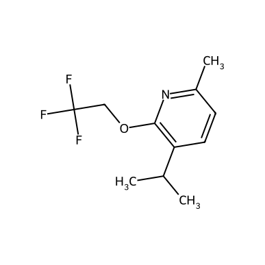 Cc1ccc(C(C)C)c(OCC(F)(F)F)n1